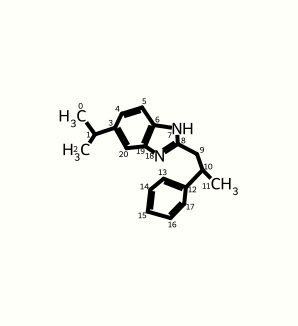 CC(C)c1ccc2[nH]c(CC(C)c3ccccc3)nc2c1